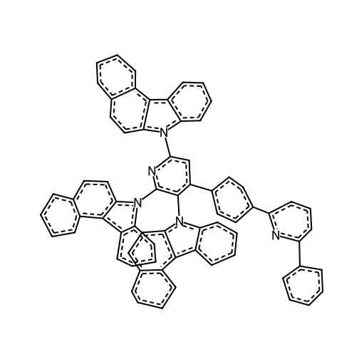 c1ccc(-c2cccc(-c3ccc(-c4cc(-n5c6ccccc6c6c7ccccc7ccc65)nc(-n5c6ccccc6c6c7ccccc7ccc65)c4-n4c5ccccc5c5c6ccccc6ccc54)cc3)n2)cc1